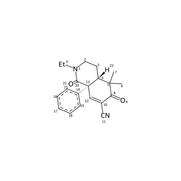 CCN1CC[C@@H]2C(C)(C)C(=O)C(C#N)=C[C@@]2(c2ccccc2)C1=O